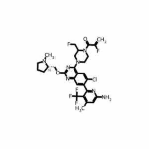 C=C(F)C(=O)N1CCN(c2nc(OC[C@@H]3CCCN3C)nc3cc(-c4nc(N)cc(C)c4C(F)(F)F)c(Cl)cc23)CC1CF